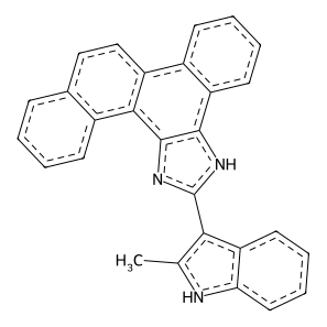 Cc1[nH]c2ccccc2c1-c1nc2c([nH]1)c1ccccc1c1ccc3ccccc3c12